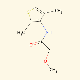 COCC(=O)Nc1c(C)csc1C